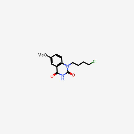 COc1ccc2c(c1)c(=O)[nH]c(=O)n2CCCCCl